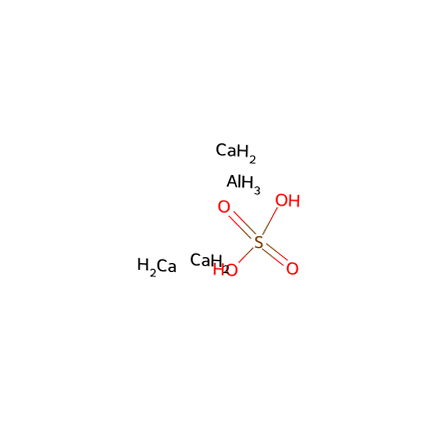 O=S(=O)(O)O.[AlH3].[CaH2].[CaH2].[CaH2]